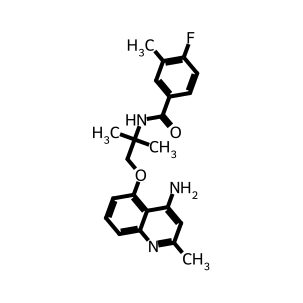 Cc1cc(N)c2c(OCC(C)(C)NC(=O)c3ccc(F)c(C)c3)cccc2n1